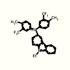 CCn1c2ccccc2c2cc([SiH](c3ccc(C)c(C(F)(F)F)c3)c3ccc(C)c(C(F)(F)F)c3)ccc21